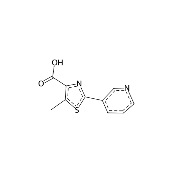 Cc1sc(-c2cccnc2)nc1C(=O)O